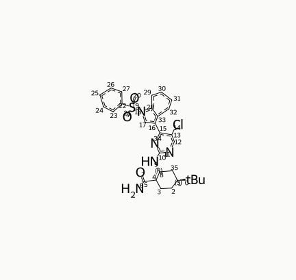 CC(C)(C)[C@H]1CCC(C(N)=O)[C@H](Nc2ncc(Cl)c(-c3cn(S(=O)(=O)c4ccccc4)c4ccccc34)n2)C1